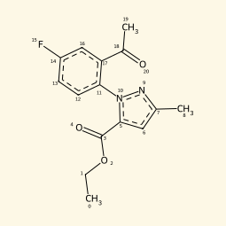 CCOC(=O)c1cc(C)nn1-c1ccc(F)cc1C(C)=O